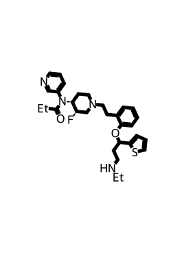 CCNCCC(Oc1ccccc1CCN1CC[C@@H](N(C(=O)CC)c2cccnc2)[C@@H](F)C1)c1cccs1